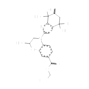 CCOC(=O)c1ccc(N(CC(C)C)c2nc3c(s2)C(C)(C)CC(=O)C3(C)C)cc1